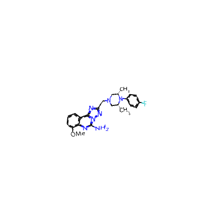 COc1cccc2c1nc(N)n1nc(CN3C[C@@H](C)N(c4ccc(F)cc4)[C@@H](C)C3)nc21